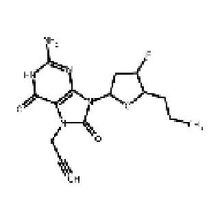 C#CCn1c(=O)n(C2CC(F)C(CCC)O2)c2nc(N)[nH]c(=O)c21